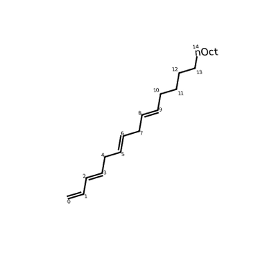 C=CC=CCC=CCC=CCCCCCCCCCCCC